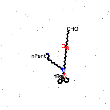 CCCCC/C=C\C/C=C\CCCCCCCCN(CCCCCCCCCCOC(=O)CCCCCCCCC=O)CCO[Si](c1ccccc1)(c1ccccc1)C(C)(C)C